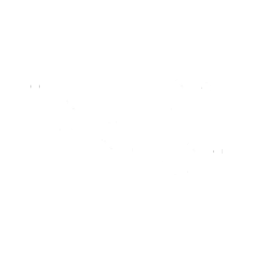 Oc1ccc(Cc2cc(Cc3ccc(O)cc3)cc(Cc3ccc(O)cc3)c2)cc1